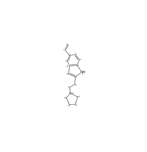 C=Cc1ccc2[nH]c(CCN3CCCC3)cc2c1